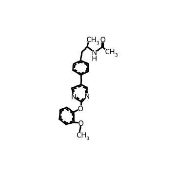 COc1ccccc1Oc1ncc(-c2ccc(CC(C)NC(C)=O)cc2)cn1